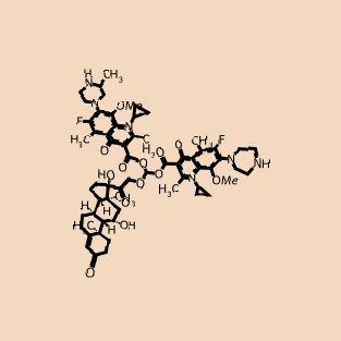 COc1c(N2CCNCC2)c(F)c(C)c2c(=O)c(C(=O)OC(OCC(=O)[C@@]3(O)CC[C@H]4[C@@H]5CCC6=CC(=O)CC[C@]6(C)[C@H]5[C@@H](O)C[C@@]43C)OC(=O)c3c(C)n(C4CC4)c4c(OC)c(N5CCNC(C)C5)c(F)c(C)c4c3=O)c(C)n(C3CC3)c12